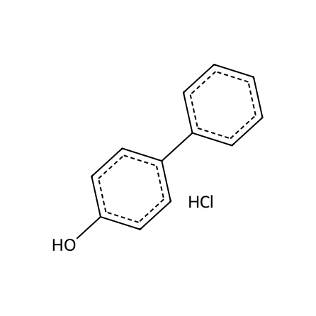 Cl.Oc1ccc(-c2ccccc2)cc1